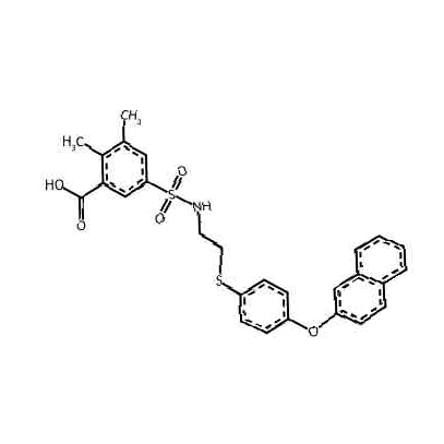 Cc1cc(S(=O)(=O)NCCSc2ccc(Oc3ccc4ccccc4c3)cc2)cc(C(=O)O)c1C